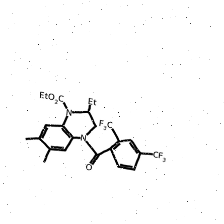 CCOC(=O)N1c2cc(C)c(C)cc2N(C(=O)c2ccc(C(F)(F)F)cc2C(F)(F)F)CC1CC